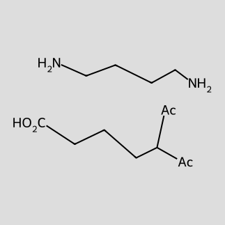 CC(=O)C(CCCC(=O)O)C(C)=O.NCCCCN